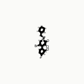 O=c1c(Cl)c(-c2ccc(F)cc2Cl)c(Br)cn1OCc1ccccc1